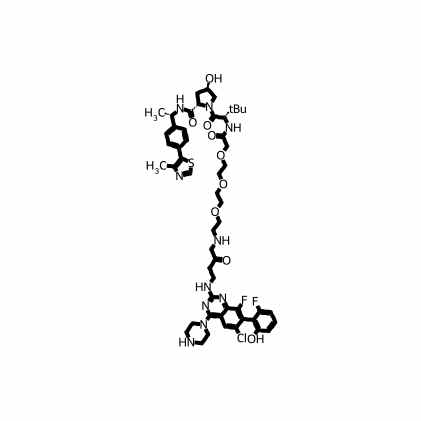 Cc1ncsc1-c1ccc([C@H](C)NC(=O)[C@@H]2C[C@@H](O)CN2C(=O)[C@@H](NC(=O)COCCOCCOCCNCC(=O)CCNc2nc(N3CCNCC3)c3cc(Cl)c(-c4c(O)cccc4F)c(F)c3n2)C(C)(C)C)cc1